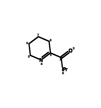 CC(C)C(=O)C1=NCCCC1